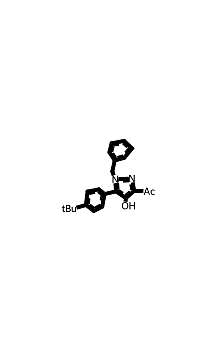 CC(=O)c1nn(Cc2ccccc2)c(-c2ccc(C(C)(C)C)cc2)c1O